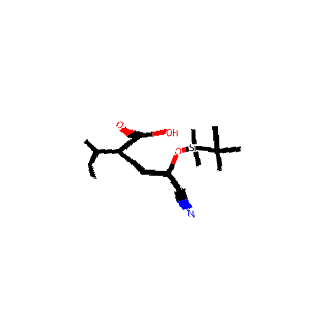 CC(C)C(CC(C#N)O[Si](C)(C)C(C)(C)C)C(=O)O